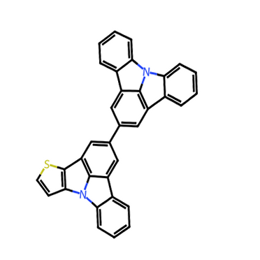 c1ccc2c(c1)c1cc(-c3cc4c5ccccc5n5c6ccsc6c(c3)c45)cc3c4ccccc4n2c13